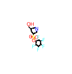 O=S(=O)(Oc1c(F)c(F)c(F)c(F)c1F)c1cncc(CO)c1